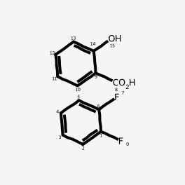 Fc1ccccc1F.O=C(O)c1ccccc1O